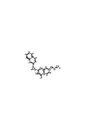 C[C@@H](NC(=O)C1CC1c1ccc2cccnc2c1)c1ccc(OCC(F)(F)F)cn1